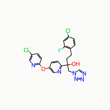 OC(CCc1ccc(Cl)cc1F)(Cn1cnnn1)c1ccc(Oc2ccc(Cl)cn2)cn1